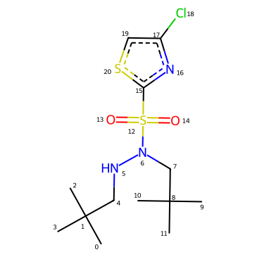 CC(C)(C)CNN(CC(C)(C)C)S(=O)(=O)c1nc(Cl)cs1